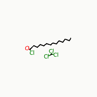 CCCCCCCCCCCCCC(=O)Cl.ClC(Cl)Cl